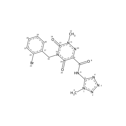 Cn1nnnc1NC(=O)c1nn(C)c(=O)n(Cc2ccccc2Br)c1=O